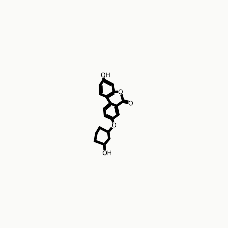 O=c1oc2cc(O)ccc2c2ccc(OC3CCCC(O)C3)cc12